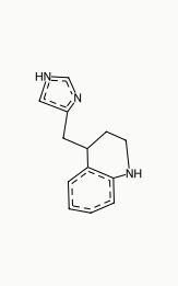 c1ccc2c(c1)NCCC2Cc1c[nH]cn1